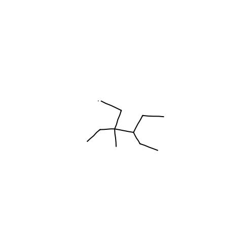 [CH2]CC(C)(CC)C(CC)CC